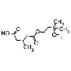 C[C@@H](CC(=O)O)CC(=O)OCC[Si](C)(C)C